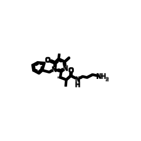 Cc1nc([CH]C(C)C(=O)NCCCN)n(Cc2ccccc2)c(=O)c1C